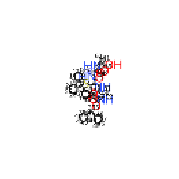 C/C=C(\NC(=O)C(CSC(c1ccccc1)(c1ccccc1)c1ccccc1)NC(=O)C(NC(=O)OCC1c2ccccc2-c2ccccc21)C(C)C)C(=O)NC(C(=O)O)C(C)C